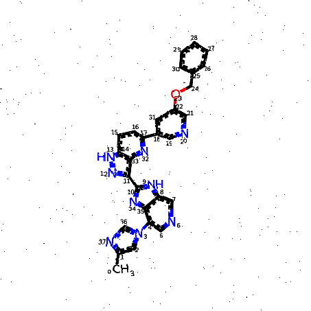 Cc1cn(-c2cncc3[nH]c(-c4n[nH]c5ccc(-c6cncc(OCc7ccccc7)c6)nc45)nc23)cn1